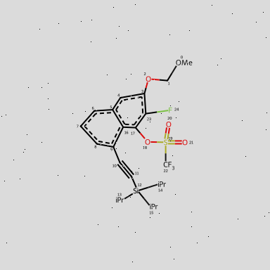 COCOc1cc2cccc(C#C[Si](C(C)C)(C(C)C)C(C)C)c2c(OS(=O)(=O)C(F)(F)F)c1F